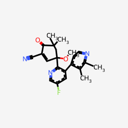 COC1(c2ncc(F)cc2-c2ccnc(C)c2C)C=C(C#N)C(=O)C(C)(C)C1